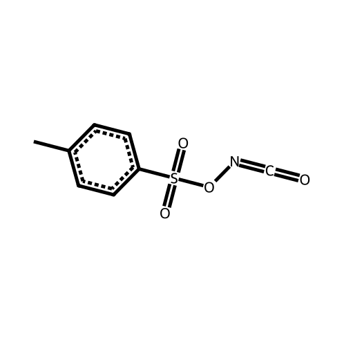 Cc1ccc(S(=O)(=O)ON=C=O)cc1